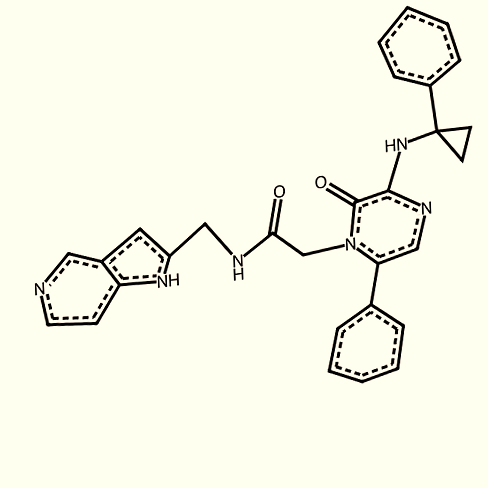 O=C(Cn1c(-c2ccccc2)cnc(NC2(c3ccccc3)CC2)c1=O)NCc1cc2cnccc2[nH]1